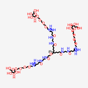 CC(C)C(CCCCC(=O)NCCCNC(=O)CCC1=CN(CCOCCOCCOCCO[C@H]2OC(CO)[C@@H](O)C(O)C2O)NN1)(CCCCC(=O)NCCCNC(=O)CCC1=CN(CCOCCOCCOCCO[C@H]2OC(CO)[C@@H](O)C(O)C2O)NN1)COCCC(=O)NCCCNC(=O)CCC1=CN(CCOCCOCCOCCO[C@H]2OC(CO)[C@@H](O)C(O)C2O)NN1